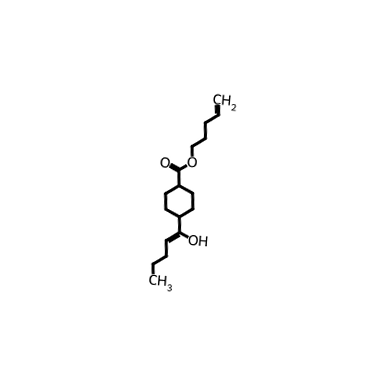 C=CCCCOC(=O)C1CCC(C(O)=CCCC)CC1